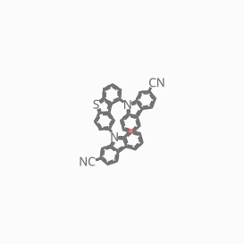 N#Cc1ccc2c3ccccc3n(-c3ccc4sc5cccc(-n6c7ccccc7c7ccc(C#N)cc76)c5c4c3)c2c1